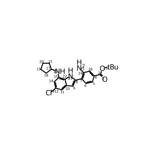 CC(C)(C)OC(=O)c1ccc(-c2cc3cc(Cl)cc(NC4CCCC4)c3[nH]2)c(N)c1